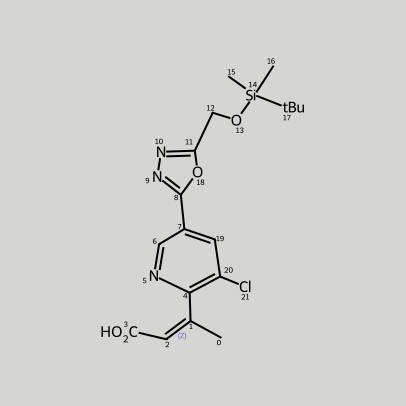 C/C(=C/C(=O)O)c1ncc(-c2nnc(CO[Si](C)(C)C(C)(C)C)o2)cc1Cl